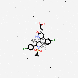 CC(C(C)[C@H]1NC(=O)[C@H](CCC(=O)O)C[C@H]1c1cccc(Cl)c1)C(c1ccc(Cl)cc1)N(C)S(=O)(=O)C1CC1